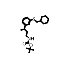 CC(CCNC(=O)OC(C)(C)C)c1cccc(SCC2CCCCC2)c1